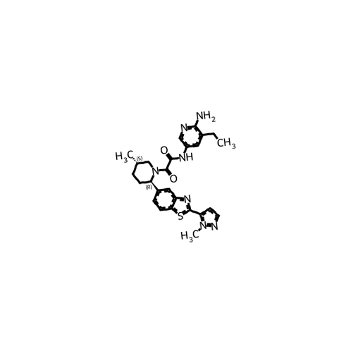 CCc1cc(NC(=O)C(=O)N2C[C@@H](C)CC[C@@H]2c2ccc3sc(-c4ccnn4C)nc3c2)cnc1N